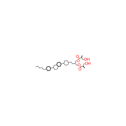 C=C(CO)C(=O)OCC(CCC1CCC(c2ccc3c(c2)CCC(c2ccc(CCCCC)cc2)C3)CC1)COC(=O)C(=C)CO